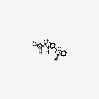 CO[C@H]1CN[C@@H](C(=O)Nc2cc(CC[C@@H](C3CC3)n3ccccc3=O)ccc2F)C1